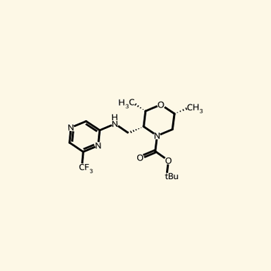 C[C@@H]1CN(C(=O)OC(C)(C)C)[C@H](CNc2cncc(C(F)(F)F)n2)[C@H](C)O1